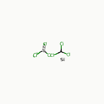 ClC(Cl)Cl.Cl[SiH](Cl)Cl.[Si]